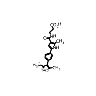 Cc1noc(C)c1-c1ccc(-c2cc(C(=O)NCCC(=O)O)c(C)[nH]2)cc1